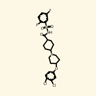 O=C(NS(=O)(=O)c1cc(F)ccc1F)C1CCC(N2CCC(Oc3ccc(Cl)c(Cl)c3)CC2)CC1